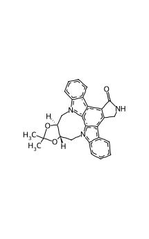 CC1(C)O[C@H]2Cn3c4ccccc4c4c5c(c6c7ccccc7n(c6c43)C[C@@H]2O1)C(=O)NC5